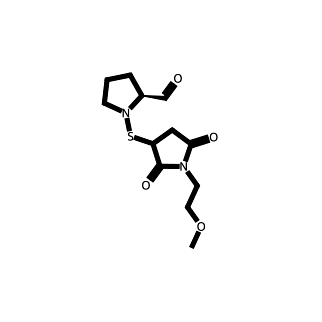 COCCN1C(=O)CC(SN2CCC[C@H]2C=O)C1=O